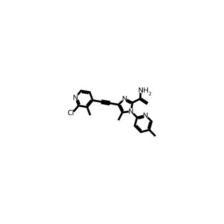 C=C(N)c1nc(C#Cc2ccnc(Cl)c2C)c(C)n1-c1ccc(C)cn1